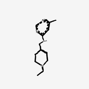 CCN1CCC(CNc2cc(C)ncn2)CC1